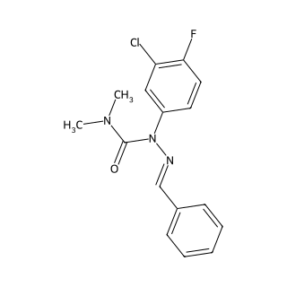 CN(C)C(=O)N(N=Cc1ccccc1)c1ccc(F)c(Cl)c1